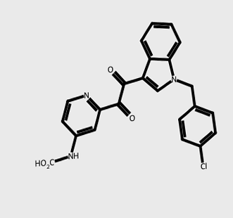 O=C(O)Nc1ccnc(C(=O)C(=O)c2cn(Cc3ccc(Cl)cc3)c3ccccc23)c1